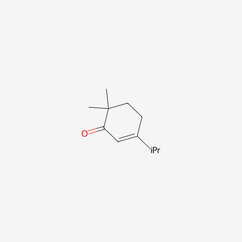 CC(C)C1=CC(=O)C(C)(C)CC1